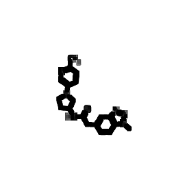 Cn1nnc2cc(CC(=O)NC3CCN(c4ccc(C(F)(F)F)nc4)C3)ccc21